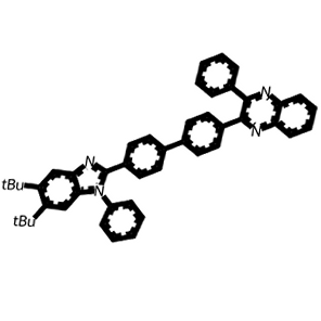 CC(C)(C)c1cc2nc(-c3ccc(-c4ccc(-c5nc6ccccc6nc5-c5ccccc5)cc4)cc3)n(-c3ccccc3)c2cc1C(C)(C)C